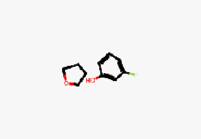 C1CCOC1.Oc1cccc(F)c1